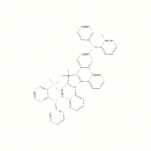 Cc1ccccc1N(c1ccccc1)c1ccc2c3c(c4ccccc4c2c1)-c1c(cc(N(c2ccccc2)c2ccccc2[Si](C)(C)C)c2ccccc12)C3(C(C)(C)C)C(C)(C)C